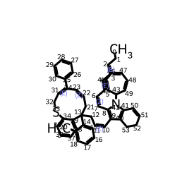 CC/C=C/C=C/C=C\c1c(/C=C\CC2(c3ccccc3C)C/C=C\C(c3ccccc3)=C/CSc3ccccc32)c2c(n1C1C=CC=CC=C1)C=CCC2